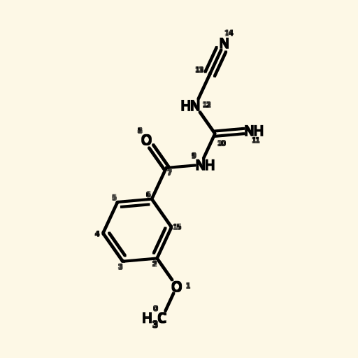 COc1cccc(C(=O)NC(=N)NC#N)c1